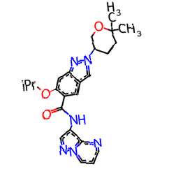 CC(C)Oc1cc2nn(C3CCC(C)(C)OC3)cc2cc1C(=O)Nc1cnn2cccnc12